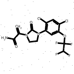 C=C(C(N)=O)N1CCN(c2cc(OC(F)(F)C(F)F)c(Cl)cc2Cl)C1=O